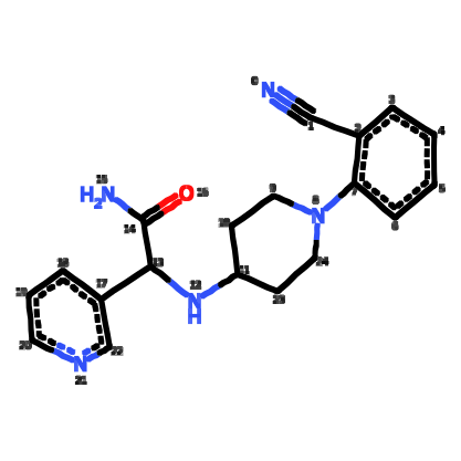 N#Cc1ccccc1N1CCC(NC(C(N)=O)c2cccnc2)CC1